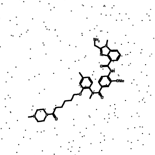 COc1cc(C(=O)N(C)c2ccc(C)cc2OCCCCCC(=O)N2CCN(C)CC2)ccc1NC(=O)c1cccc2c1nc(CN)n2C